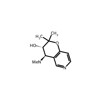 CN[C@@H]1c2cnccc2OC(C)(C)[C@H]1O